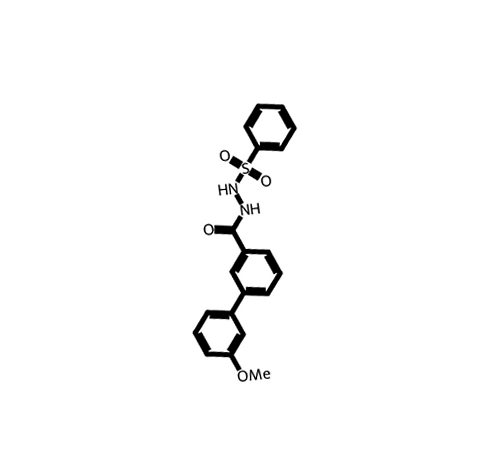 COc1cccc(-c2cccc(C(=O)NNS(=O)(=O)c3ccccc3)c2)c1